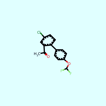 CC(=O)c1cc(Cl)ccc1-c1ccc(OC(F)F)cc1